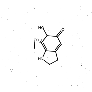 CC(=O)O.O=C1C=C2CCNC2=CC1O